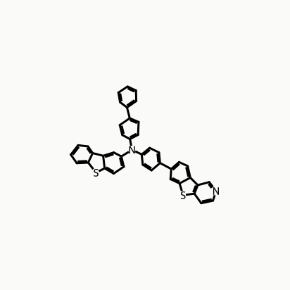 c1ccc(-c2ccc(N(c3ccc(-c4ccc5c(c4)sc4ccncc45)cc3)c3ccc4sc5ccccc5c4c3)cc2)cc1